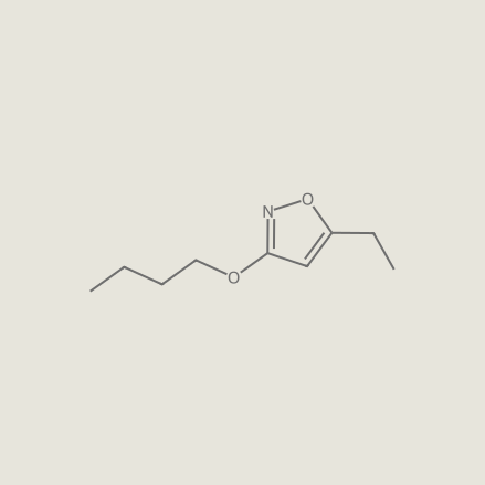 CCCCOc1cc(CC)on1